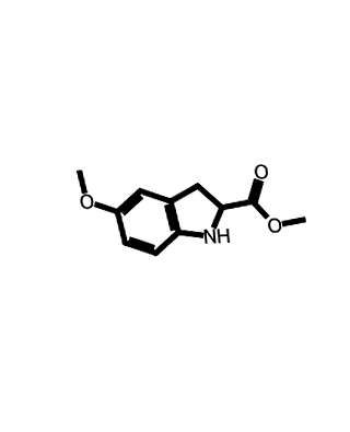 COC(=O)C1Cc2cc(OC)ccc2N1